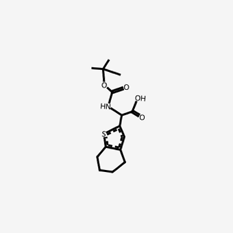 CC(C)(C)OC(=O)NC(C(=O)O)c1cc2c(s1)CCCC2